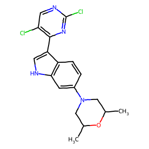 CC1CN(c2ccc3c(-c4nc(Cl)ncc4Cl)c[nH]c3c2)CC(C)O1